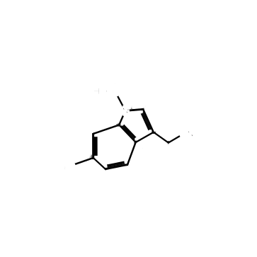 N#CCc1cn(C(=O)O)c2cc(F)ccc12